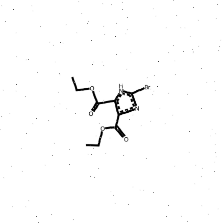 CCOC(=O)c1nc(Br)[nH]c1C(=O)OCC